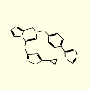 C1=C[N+]2C(Nc3cc(C4CC4)[nH]n3)=CN(Sc3ccc(-c4nnco4)cc3)CC2=N1